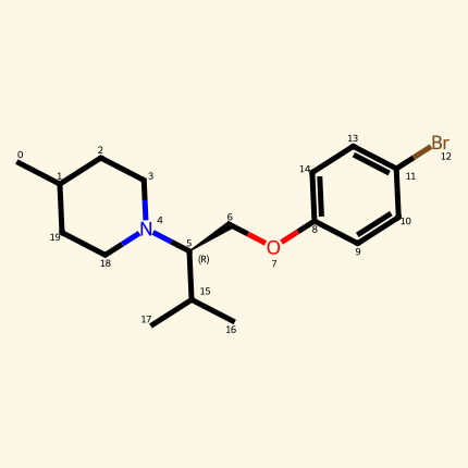 CC1CCN([C@@H](COc2ccc(Br)cc2)C(C)C)CC1